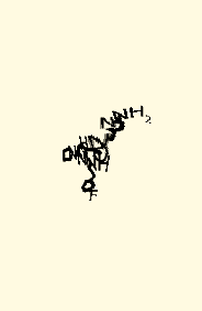 Nc1ccc(CNC(=O)c2ccc(N3CCCC3)nc2NCCc2cccc(F)c2)cn1